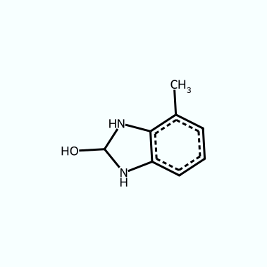 Cc1cccc2c1NC(O)N2